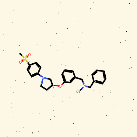 CCN(Cc1ccccc1)Cc1cccc(O[C@H]2CCN(c3ccc(S(C)(=O)=O)cc3)C2)c1